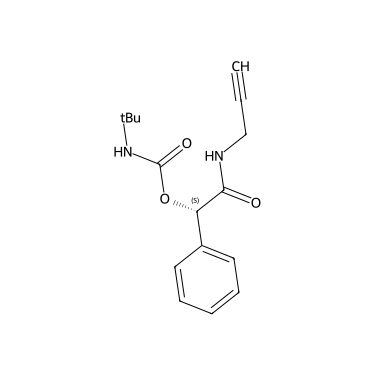 C#CCNC(=O)[C@@H](OC(=O)NC(C)(C)C)c1ccccc1